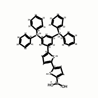 OB(O)c1ccc(-c2ccc(-c3cc(N(c4ccccc4)c4ccccc4)cc(N(c4ccccc4)c4ccccc4)c3)s2)s1